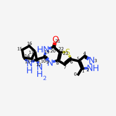 Cc1[nH]ncc1-c1cc2nc(C3(N)NC4CCC3C4)[nH]c(=O)c2s1